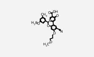 COCCCOc1cc2c(cc1C#N)-c1cc(=O)c(C(=O)O)cn1C(c1cc(C)cc(OC)c1)O2